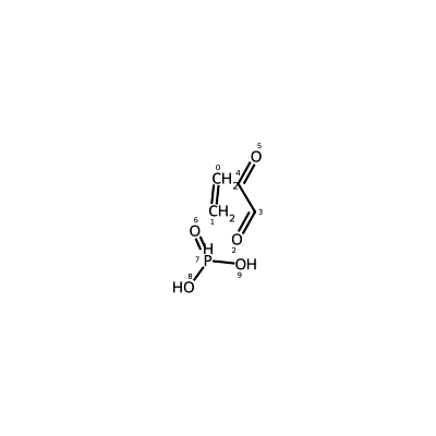 C=C.O=CC=O.O=[PH](O)O